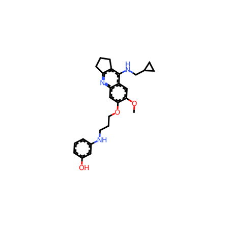 COc1cc2c(NCC3CC3)c3c(nc2cc1OCCCNc1cccc(O)c1)CCC3